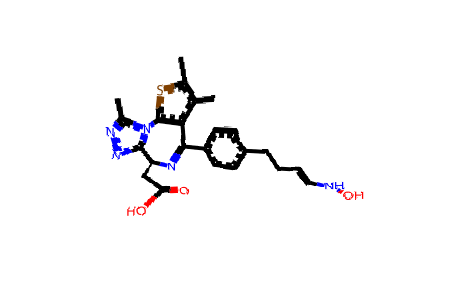 Cc1sc2c(c1C)C(c1ccc(CCC=CNO)cc1)=N[C@@H](CC(=O)O)c1nnc(C)n1-2